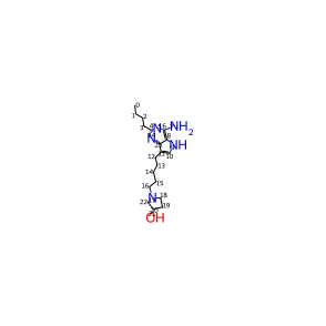 CCCCc1nc(N)c2[nH]cc(CCCCCN3CC[C@H](O)C3)c2n1